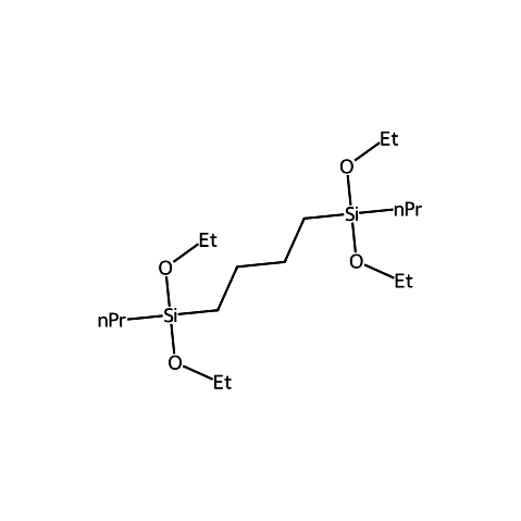 CCC[Si](CCCC[Si](CCC)(OCC)OCC)(OCC)OCC